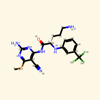 CSc1nc(N)nc(NC(=O)[C@H](CCCN)Nc2cccc(C(F)(F)F)c2)c1C#N